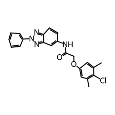 Cc1cc(OCC(=O)Nc2ccc3nn(-c4ccccc4)nc3c2)cc(C)c1Cl